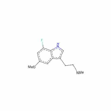 CNCCc1c[nH]c2c(F)cc(OC)cc12